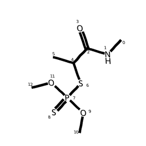 CNC(=O)C(C)SP(=S)(OC)OC